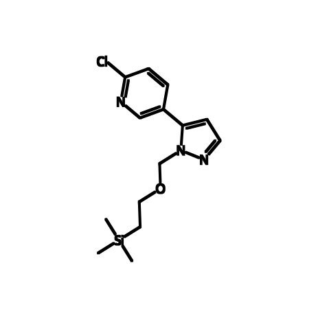 C[Si](C)(C)CCOCn1nccc1-c1ccc(Cl)nc1